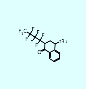 CC(C)(C)C1CC(C(F)(F)C(F)(F)C(F)(F)C(F)(F)F)C(=O)c2ccccc21